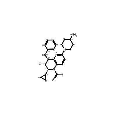 CC(=O)N1c2ccc(N3CCC(N)CC3)nc2[C@H](Nc2ccccc2)[C@@H](C)[C@@H]1C1CC1